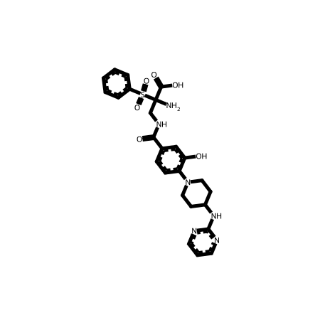 NC(CNC(=O)c1ccc(N2CCC(Nc3ncccn3)CC2)c(O)c1)(C(=O)O)S(=O)(=O)c1ccccc1